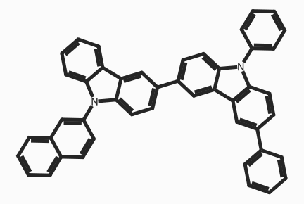 c1ccc(-c2ccc3c(c2)c2cc(-c4ccc5c(c4)c4ccccc4n5-c4ccc5ccccc5c4)ccc2n3-c2ccccc2)cc1